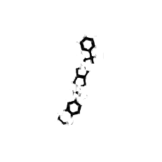 CC(O)(C(=O)N1CC2=C(C1)CN(S(=O)(=O)c1ccc3c(c1)OCCO3)C2)c1ccccc1